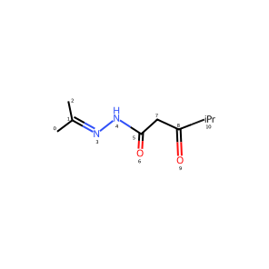 CC(C)=NNC(=O)CC(=O)C(C)C